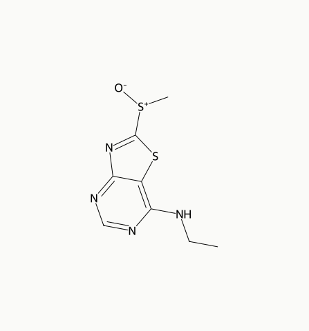 CCNc1ncnc2nc([S+](C)[O-])sc12